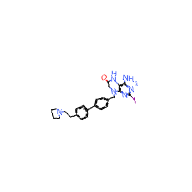 Nc1nc(I)nc2c1NC(=O)CN2Cc1ccc(-c2ccc(CCN3CCCC3)cc2)cc1